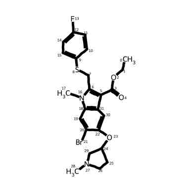 CCOC(=O)c1c(CSc2ccc(F)cc2)n(C)c2cc(Br)c(OC3CCN(C)C3)cc12